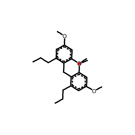 CCCc1cc(OC)cc(OC)c1Cc1c(CCC)cc(OC)cc1OC